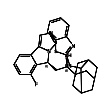 O[C@H](C[C@H]1c2c(F)cccc2-c2cncn21)C12CC3CC(C1)C(Nc1nc4ccccc4s1)C(C3)C2